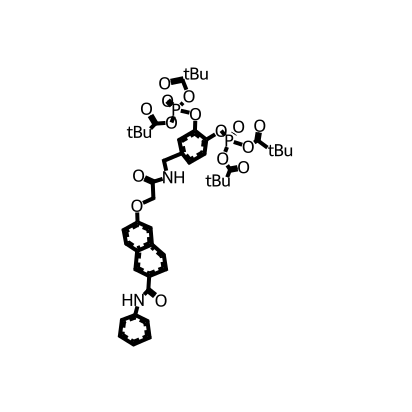 CC(C)(C)C(=O)OP(=O)(OC(=O)C(C)(C)C)Oc1ccc(CNC(=O)COc2ccc3cc(C(=O)Nc4ccccc4)ccc3c2)cc1OP(=O)(OC(=O)C(C)(C)C)OC(=O)C(C)(C)C